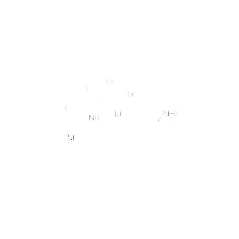 C1CCCCC1.CCC(Br)(CC)C(=O)NC(N)=O.CCCCCCCCC.N